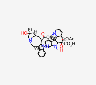 CCC12C=CCN3CCC4(c5cc([C@@]6(C(=O)OC)C[C@H]7CN(CCc8c6[nH]c6ccccc86)C[C@](O)(CC)C7)c(OC)cc5N(C)C4C(O)(C(=O)O)C1OC(C)=O)C32